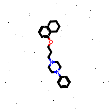 c1ccc(N2CCN(CCCOc3cccc4c3CCCC4)CC2)cc1